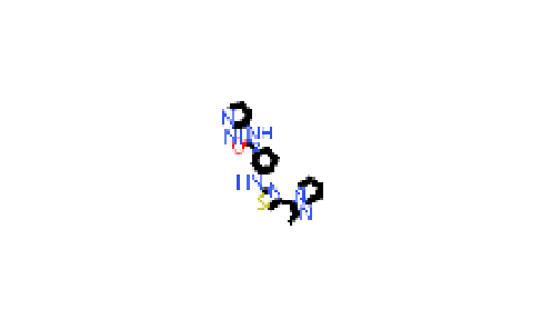 Cc1nc2ccccn2c1-c1csc(Nc2cccc(C(=O)Nc3cccnc3N)c2)n1